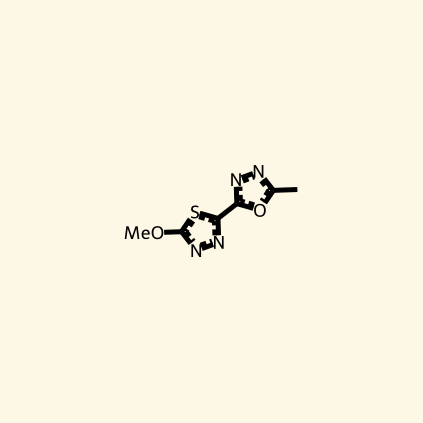 COc1nnc(-c2nnc(C)o2)s1